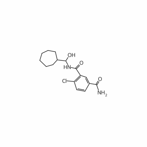 NC(=O)c1ccc(Cl)c(C(=O)NC(O)C2CCCCCC2)c1